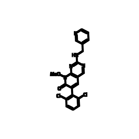 COn1c(=O)c(-c2c(Cl)cccc2Cl)cc2cnc(NCc3cccnc3)nc21